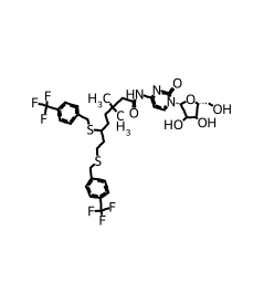 CC(C)(CCC(CCSCc1ccc(C(F)(F)F)cc1)SCc1ccc(C(F)(F)F)cc1)CC(=O)Nc1ccn([C@@H]2O[C@H](CO)C(O)C2O)c(=O)n1